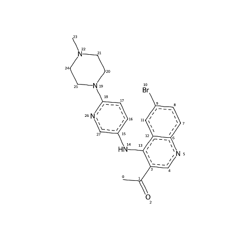 CC(=O)c1cnc2ccc(Br)cc2c1Nc1ccc(N2CCN(C)CC2)nc1